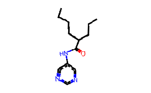 CCCCC(CCC)C(=O)Nc1cncnc1